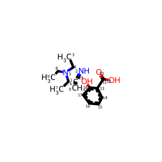 C=C=N.CCN(CC)CC.O=C(O)c1ccccc1O